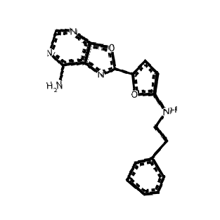 Nc1ncnc2oc(-c3ccc(NCCc4ccccc4)o3)nc12